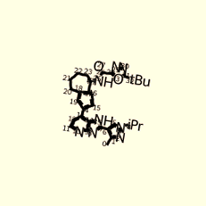 Cc1nn(C(C)C)cc1-c1nc2nccc(-c3ccc4c(c3)CCCC[C@@H]4NC(=O)c3nnc(C(C)(C)C)o3)c2[nH]1